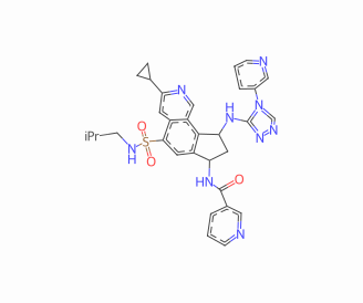 CC(C)CNS(=O)(=O)c1cc2c(c3cnc(C4CC4)cc13)C(Nc1nncn1-c1cccnc1)CC2NC(=O)c1cccnc1